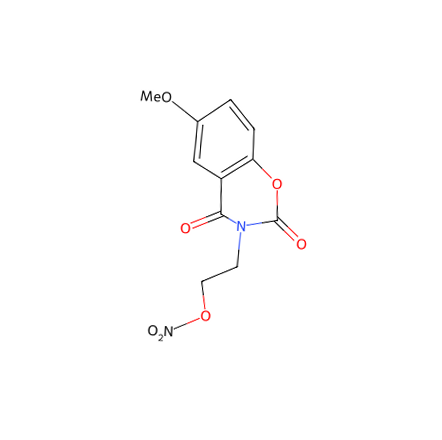 COc1ccc2oc(=O)n(CCO[N+](=O)[O-])c(=O)c2c1